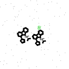 C[C](C)=[Hf+][CH]1c2ccccc2-c2cccc(C3=CC=CC3)c21.C[C](C)=[Hf+][CH]1c2ccccc2-c2cccc(C3=CC=CC3)c21.[Cl-].[Cl-]